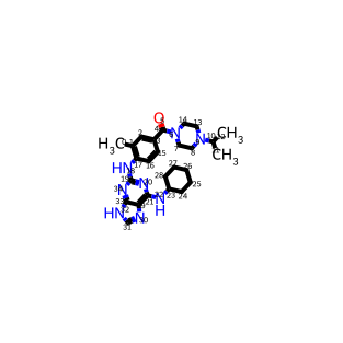 Cc1cc(C(=O)N2CCN(C(C)C)CC2)ccc1Nc1nc(NC2CCCCC2)c2nc[nH]c2n1